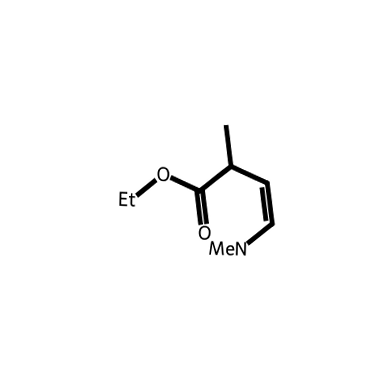 CCOC(=O)C(C)/C=C\NC